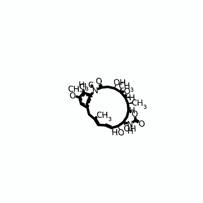 COc1cc2cc(c1Cl)N(C)C(=O)C[C@H](O)[C@]1(C)O[C@@H]1[C@@H](C)[C@@H]1C[C@@](O)(NC(=O)O1)[C@H](O)/C=C/C=C(\C)C2